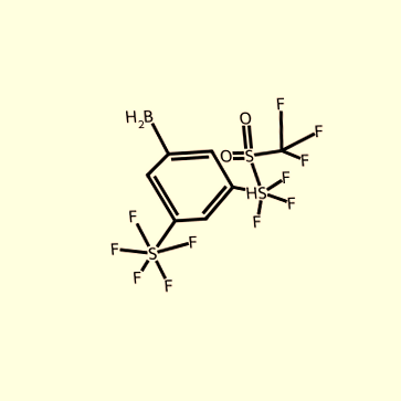 Bc1cc([SH](F)(F)(F)S(=O)(=O)C(F)(F)F)cc(S(F)(F)(F)(F)F)c1